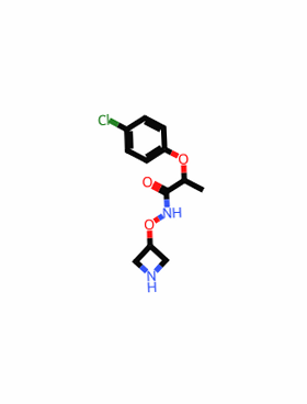 CC(Oc1ccc(Cl)cc1)C(=O)NOC1CNC1